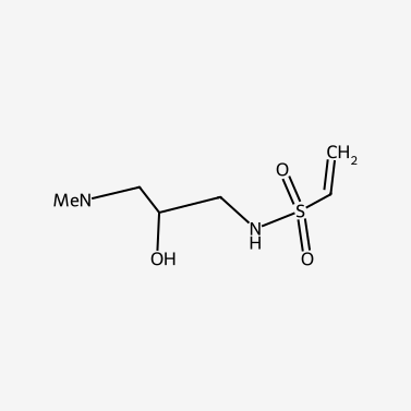 C=CS(=O)(=O)NCC(O)CNC